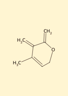 C=C1OCC=C(C)C1=C